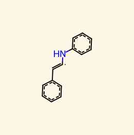 [C](=Cc1ccccc1)Nc1ccccc1